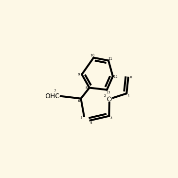 C=COC=C.CC(C=O)c1ccccc1